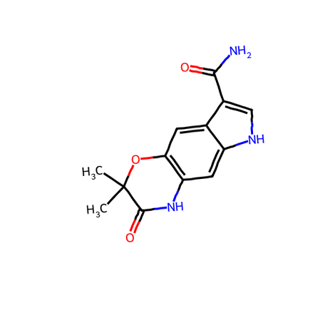 CC1(C)Oc2cc3c(C(N)=O)c[nH]c3cc2NC1=O